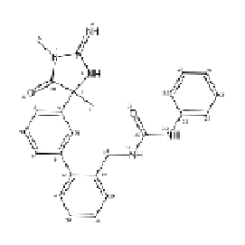 CN1C(=N)NC(C)(c2cccc(-c3ccccc3CNC(=O)Nc3ccccc3)c2)C1=O